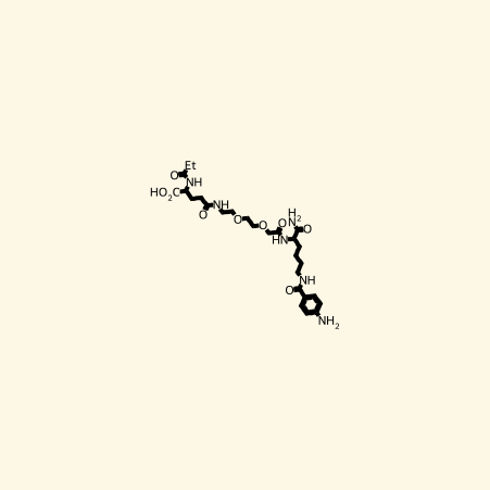 CCC(=O)NC(CCC(=O)NCCOCCOCC(=O)NC(CCCCNC(=O)c1ccc(N)cc1)C(N)=O)C(=O)O